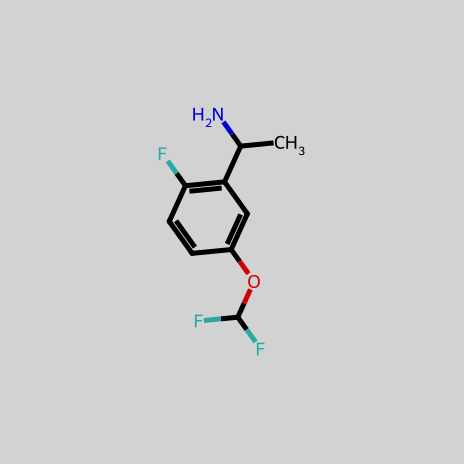 CC(N)c1cc(OC(F)F)ccc1F